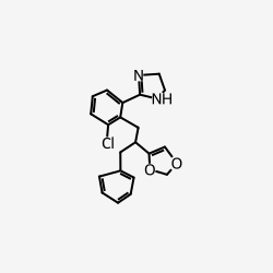 Clc1cccc(C2=NCCN2)c1CC(Cc1ccccc1)C1=COCO1